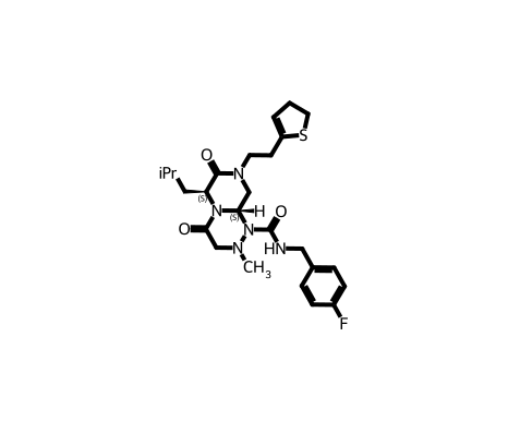 CC(C)C[C@H]1C(=O)N(CCC2=CCCS2)C[C@H]2N1C(=O)CN(C)N2C(=O)NCc1ccc(F)cc1